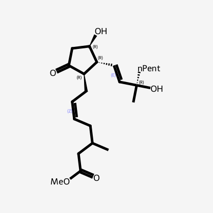 CCCCC[C@@](C)(O)/C=C/[C@H]1[C@H](O)CC(=O)[C@@H]1C/C=C\CC(C)CC(=O)OC